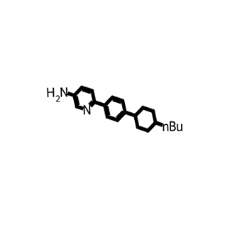 CCCCC1CCC(c2ccc(-c3ccc(N)cn3)cc2)CC1